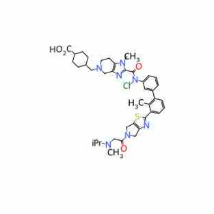 Cc1c(-c2cccc(N(Cl)C(=O)c3nc4c(n3C)CCN(CC3CCC(C(=O)O)CC3)C4)c2)cccc1-c1nc2c(s1)CN(C(=O)CN(C)C(C)C)C2